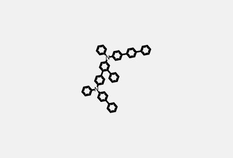 c1ccc(-c2ccc(-c3ccc(N(c4ccccc4)c4ccc(-c5ccc(N(c6ccccc6)c6ccc(-c7ccccc7)cc6)cc5)c(-c5ccccc5)c4)cc3)cc2)cc1